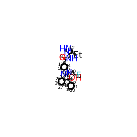 CCc1c[nH]nc1NC(=O)c1ccc2nc(C(O)(c3ccccc3)c3ccccc3)n(CCF)c2c1